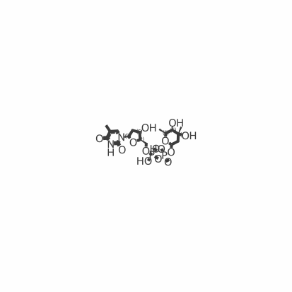 Cc1cn([C@H]2C[C@H](O)[C@@H](COP(=O)(O)OP(=O)(O)OC3C[C@@](C)(O)[C@@H](O)[C@H](C)O3)O2)c(=O)[nH]c1=O